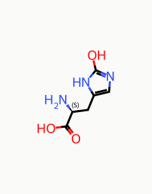 N[C@@H](Cc1cnc(O)[nH]1)C(=O)O